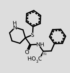 O=C(O)[C@H](Cc1ccccc1)NC(=O)C1(Sc2ccccc2)CCCNC1